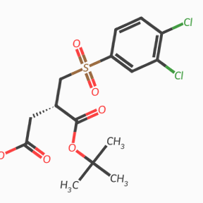 CC(C)(C)OC(=O)[C@H](CC(=O)O)CS(=O)(=O)c1ccc(Cl)c(Cl)c1